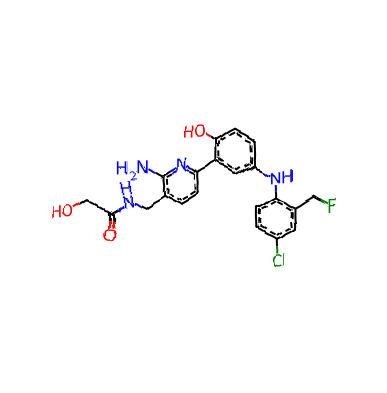 Nc1nc(-c2cc(Nc3ccc(Cl)cc3CF)ccc2O)ccc1CNC(=O)CO